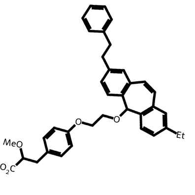 CCOC(=O)C(Cc1ccc(OCCOC2c3ccc(CC)cc3C=Cc3cc(CCc4ccccc4)ccc32)cc1)OC